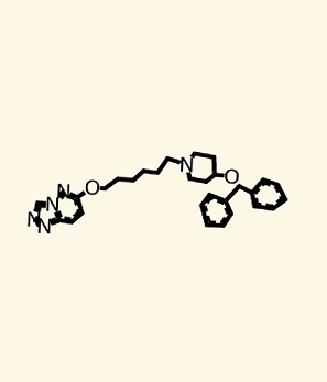 c1ccc(C(OC2CCN(CCCCCCOc3ccc4nncn4n3)CC2)c2ccccc2)cc1